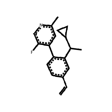 C=Cc1ccc(-c2cc(C)ncc2F)c(C(C)C2CC2)c1